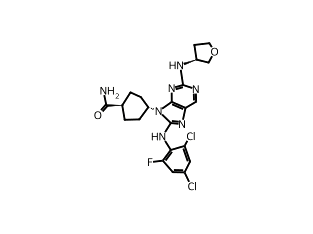 NC(=O)[C@H]1CC[C@H](n2c(Nc3c(F)cc(Cl)cc3Cl)nc3cnc(N[C@H]4CCOC4)nc32)CC1